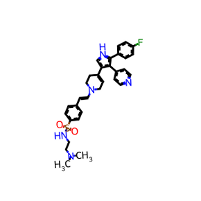 CN(C)CCNS(=O)(=O)c1ccc(C=CN2CC=C(c3c[nH]c(-c4ccc(F)cc4)c3-c3ccncc3)CC2)cc1